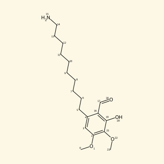 COc1cc(CCCCCCCCCCN)c(C=O)c(O)c1OC